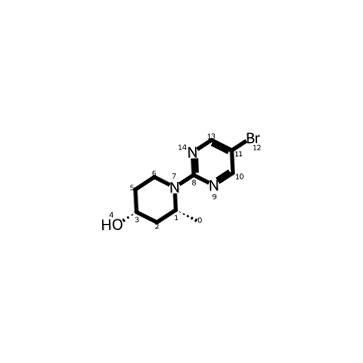 C[C@@H]1C[C@H](O)CCN1c1ncc(Br)cn1